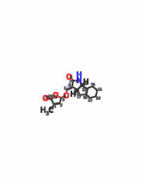 CC1=CC(O/C=C2/C(=O)N[C@@H]3C4=C(CCCC4)C[C@H]23)OC1=O